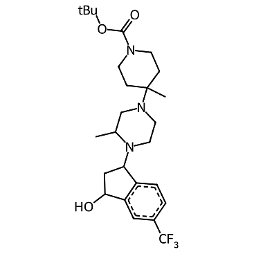 CC1CN(C2(C)CCN(C(=O)OC(C)(C)C)CC2)CCN1C1CC(O)c2cc(C(F)(F)F)ccc21